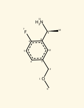 COCc1ccc(F)c([C@H](C)N)c1